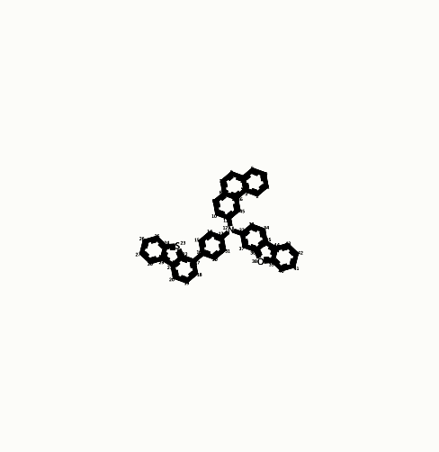 c1ccc2c(c1)ccc1ccc(N(c3ccc(-c4cccc5c4sc4ccccc45)cc3)c3ccc4c(c3)oc3ccccc34)cc12